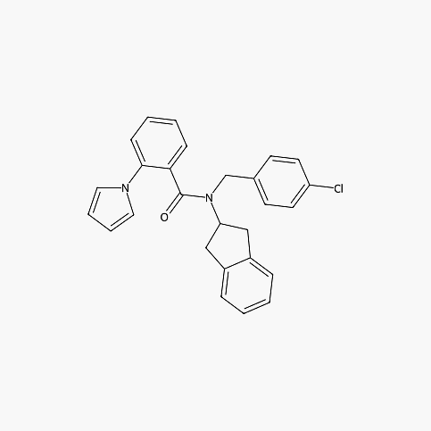 O=C(c1ccccc1-n1cccc1)N(Cc1ccc(Cl)cc1)C1Cc2ccccc2C1